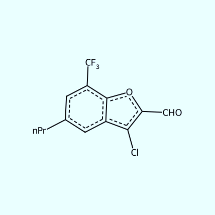 CCCc1cc(C(F)(F)F)c2oc(C=O)c(Cl)c2c1